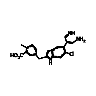 Cc1ccc(Cc2cc3cc(/C(C=N)=C/N)c(Cl)cc3[nH]2)cc1C(=O)O